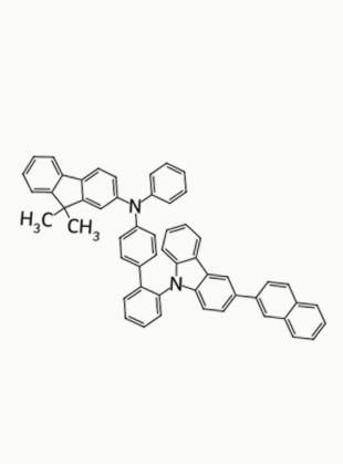 CC1(C)c2ccccc2-c2ccc(N(c3ccccc3)c3ccc(-c4ccccc4-n4c5ccccc5c5cc(-c6ccc7ccccc7c6)ccc54)cc3)cc21